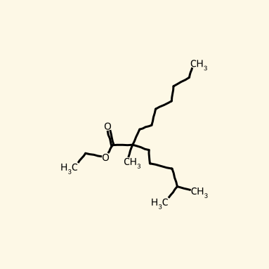 CCCCCCCC(C)(CCCC(C)C)C(=O)OCC